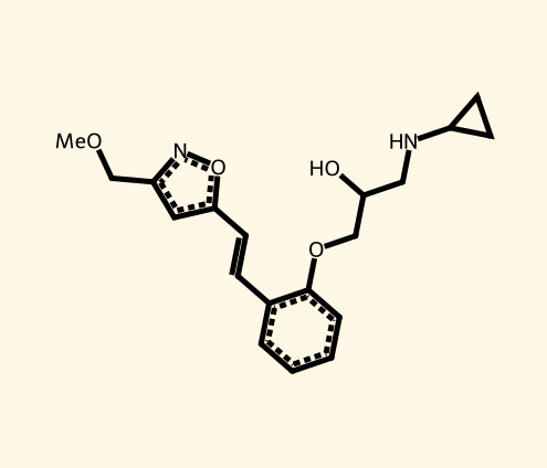 COCc1cc(C=Cc2ccccc2OCC(O)CNC2CC2)on1